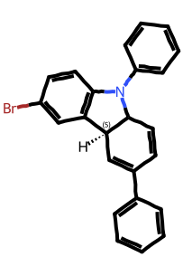 Brc1ccc2c(c1)[C@@H]1C=C(c3ccccc3)C=CC1N2c1ccccc1